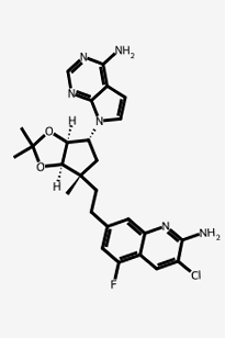 CC1(C)O[C@H]2[C@H](n3ccc4c(N)ncnc43)C[C@](C)(CCc3cc(F)c4cc(Cl)c(N)nc4c3)[C@H]2O1